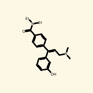 CCN(CC)C(=O)c1ccc(/C(=C/CN(C)C)c2cccc(O)c2)cc1